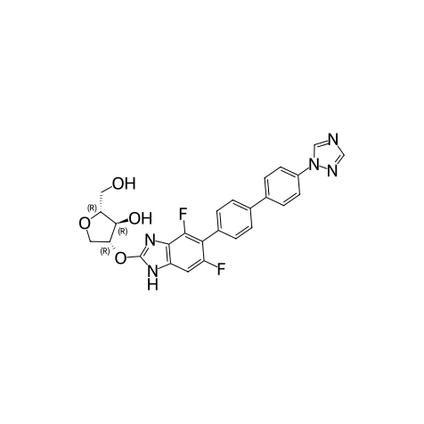 OC[C@H]1OC[C@@H](Oc2nc3c(F)c(-c4ccc(-c5ccc(-n6cncn6)cc5)cc4)c(F)cc3[nH]2)[C@@H]1O